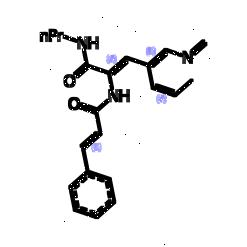 C=N/C=C(\C=C/C)/C=C(\NC(=O)/C=C/c1ccccc1)C(=O)NCCC